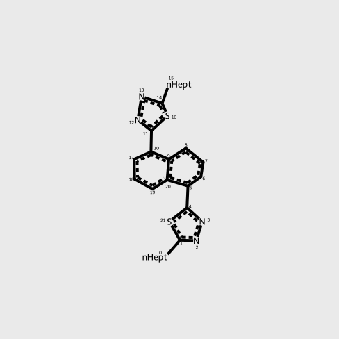 CCCCCCCc1nnc(-c2cccc3c(-c4nnc(CCCCCCC)s4)cccc23)s1